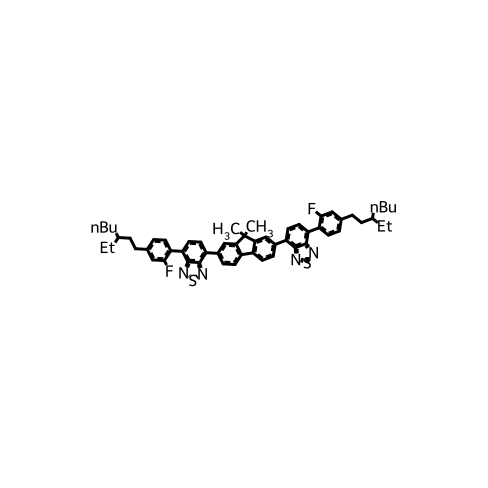 CCCCC(CC)CCc1ccc(-c2ccc(-c3ccc4c(c3)C(C)(C)c3cc(-c5ccc(-c6ccc(CCC(CC)CCCC)cc6F)c6nsnc56)ccc3-4)c3nsnc23)c(F)c1